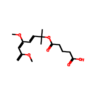 C=C(/C=C(\C=C\C(C)(C)OC(=O)CCCC(=O)O)OC)OC